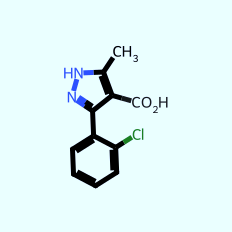 Cc1[nH]nc(-c2ccccc2Cl)c1C(=O)O